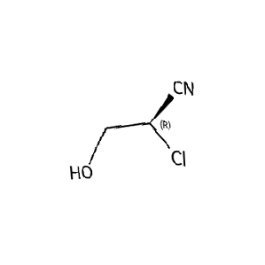 N#C[C@@H](Cl)CO